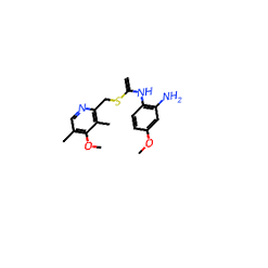 C=C(Nc1ccc(OC)cc1N)SCc1ncc(C)c(OC)c1C